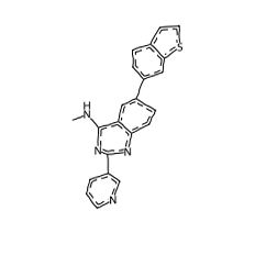 CNc1nc(-c2cccnc2)nc2ccc(-c3ccc4ccsc4c3)cc12